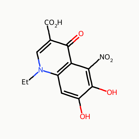 CCn1cc(C(=O)O)c(=O)c2c([N+](=O)[O-])c(O)c(O)cc21